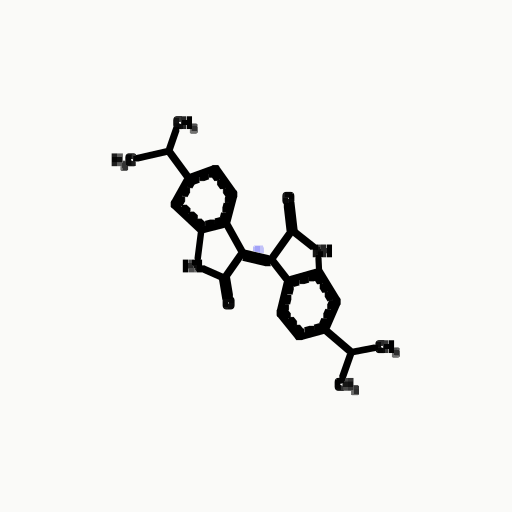 CC(C)c1ccc2c(c1)NC(=O)/C2=C1/C(=O)Nc2cc(C(C)C)ccc21